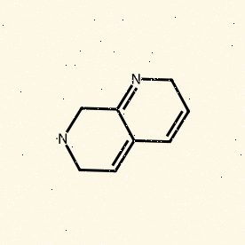 C1=CC2=CC[N]CC2=NC1